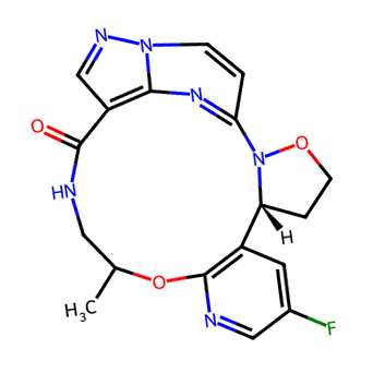 CC1CNC(=O)c2cnn3ccc(nc23)N2OCC[C@@H]2c2cc(F)cnc2O1